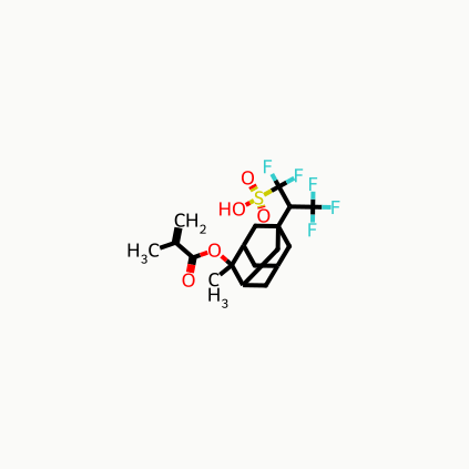 C=C(C)C(=O)OC1(C)C2CC3CC1CC(C(C(F)(F)F)C(F)(F)S(=O)(=O)O)(C3)C2